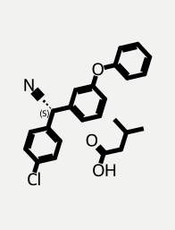 CC(C)CC(=O)O.N#C[C@@H](c1ccc(Cl)cc1)c1cccc(Oc2ccccc2)c1